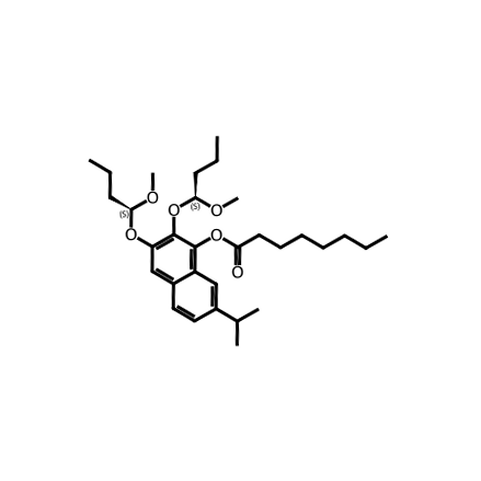 CCCCCCCC(=O)Oc1c(O[C@@H](CCC)OC)c(O[C@@H](CCC)OC)cc2ccc(C(C)C)cc12